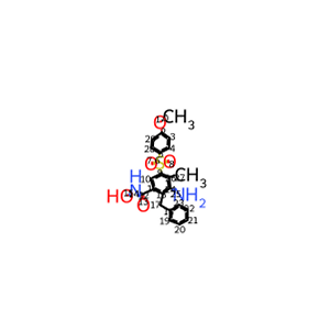 COc1ccc(S(=O)(=O)c2cc(C(=O)NO)c(Cc3ccccc3)c(N)c2C)cc1